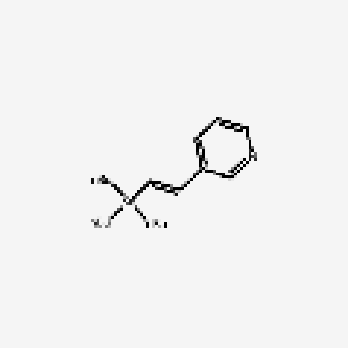 CCC[CH2][Sn]([CH]=Cc1cccnc1)([CH2]CCC)[CH2]CCC